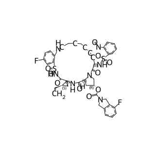 C=C[C@@H]1C[C@@]12NC(=O)[C@@H]1C[C@@H](OC(=O)N3Cc4cccc(F)c4C3)CN1C(=O)[C@@H](NS(=O)(=O)c1ccccc1N=O)CCCCCCCNc1ccc(F)cc1S(=O)(=O)NC2=O